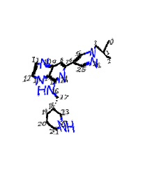 CC(C)Cn1cc(-c2cc3nccnc3c(NC[C@H]3CCCNC3)n2)cn1